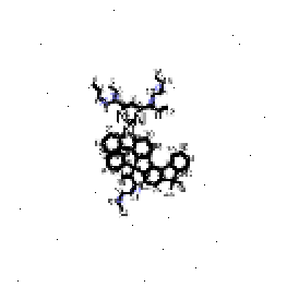 C=C/C=C\C(=C/C)c1cc(/C(C=C)=C/C=C\C)nc(-n2c3ccccc3c3c4c(ccc32)-c2c(ccc3c2-c2ccccc2C3(C)C)C4(C(=C)/C=C\C=C/C)c2ccccc2)n1